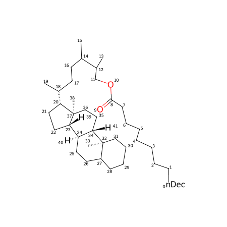 CCCCCCCCCCCCCCCCCC(=O)OCC(C)C(C)CCC(C)[C@H]1CC[C@H]2[C@@H]3CCC4CCCC[C@]4(C)[C@H]3CC[C@]12C